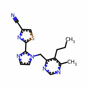 CCCc1c(C)ncnc1Cn1ccnc1-c1nc(C#N)cs1